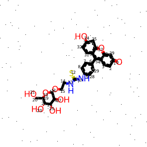 O=c1ccc2c(-c3ccc(NC(=S)NCCO[C@H]4OC(CO)[C@@H](O)[C@H](O)C4O)cc3)c3ccc(O)cc3oc-2c1